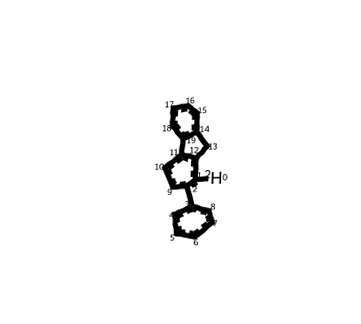 [2H]c1c(-c2ccccc2)ccc2c1Cc1ccccc1-2